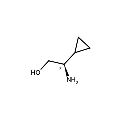 N[C@@H](CO)C1CC1